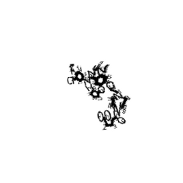 O=C1CCC(C(=O)N2CCN(CCOc3cc4ncnc(Nc5ccc(F)c(Cl)c5)c4cc3OC3CCCC3)CC2)O1